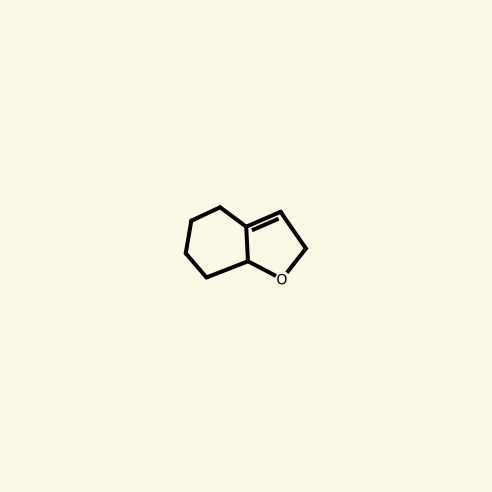 C1=C2CCCCC2OC1